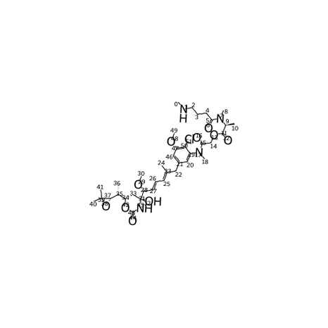 CNCCCC(=O)N(C)[C@@H](C)C(=O)OCC(=O)N(C)c1cc(C/C(C)=C/C=C/[C@@H](OC)[C@@]2(O)C[C@@H]([C@@H](C)[C@@H]3OC3(C)C)OC(=O)N2)cc(OC)c1Cl